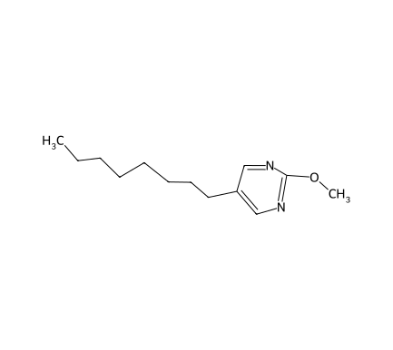 CCCCCCCCc1cnc(OC)nc1